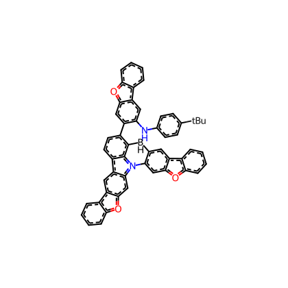 CC(C)(C)c1ccc(Nc2cc3c(cc2-c2ccc4c5cc6c(cc5n5c4c2Bc2cc4c(cc2-5)oc2ccccc24)oc2ccccc26)oc2ccccc23)cc1